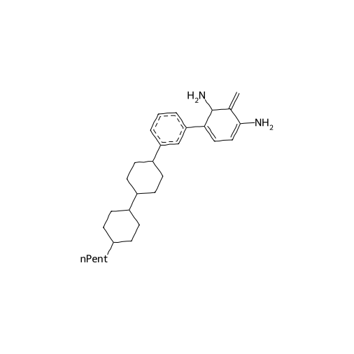 C=C1C(N)=CC=C(c2cccc(C3CCC(C4CCC(CCCCC)CC4)CC3)c2)C1N